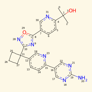 CC(C)(O)c1ccc(-c2nc(C3(c4ccc(-c5cnc(N)nc5)nc4)CCC3)no2)cn1